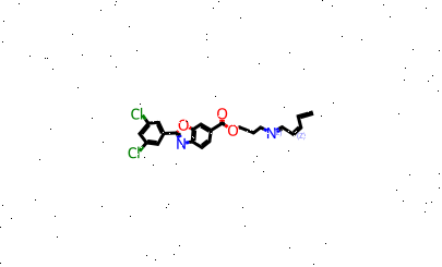 C=C/C=C\C=N\CCCOC(=O)c1ccc2nc(-c3cc(Cl)cc(Cl)c3)oc2c1